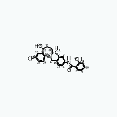 Cc1cc(NC(=O)c2ccccc2C)ccc1CN1CCCC(O)c2cc(Cl)ccc21